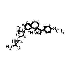 COc1ccc(-c2n[nH]c3c2CCCc2ccc(N4C[C@H](CNC(C)=O)OC4=O)cc2-3)cc1